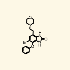 O=c1[nH]c2c(CCN3CCOCC3)cc(Br)c(Oc3ccccc3)c2[nH]1